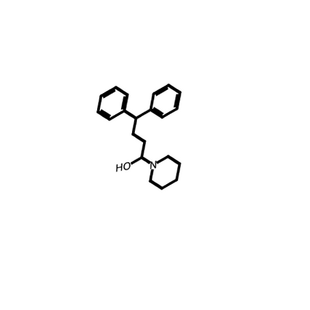 OC(CCC(c1ccccc1)c1ccccc1)N1CCCCC1